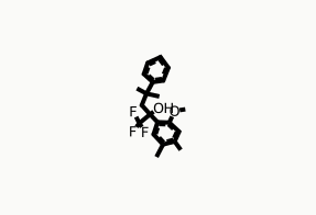 COc1cc(C)c(C)cc1C(O)(CC(C)(C)c1ccccc1)C(F)(F)F